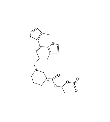 Cc1ccsc1C(=CCCN1CCC[C@@H](C(=O)OC(C)O[N+](=O)[O-])C1)c1sccc1C